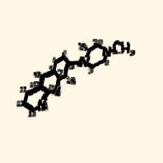 CN1CCN(c2ccc3cc4cccnc4nc3c2)CC1